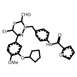 CCC1SC(C=O)N(Cc2ccc(NC(=O)c3ccco3)cc2)N=C1c1ccc(OC)c(OC2CCCC2)c1